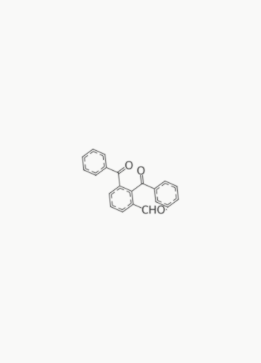 O=[C]c1cccc(C(=O)c2ccccc2)c1C(=O)c1ccccc1